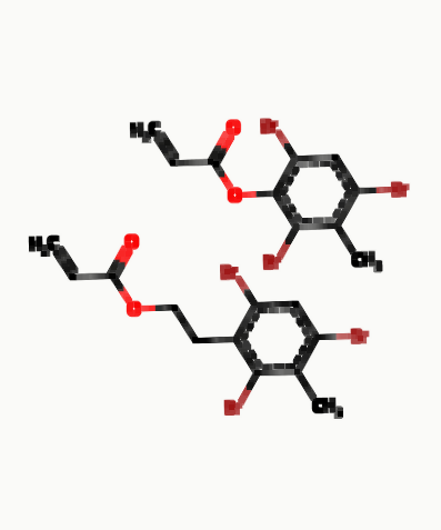 C=CC(=O)OCCc1c(Br)cc(Br)c(C)c1Br.C=CC(=O)Oc1c(Br)cc(Br)c(C)c1Br